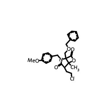 COc1ccc(CN2C(=O)C(CCCl)C3(C)OC(=O)C23COCc2ccccc2)cc1